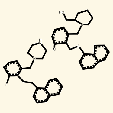 Fc1cccc(CN2CCNCC2)c1CCc1cccc2ccccc12.OCC1CCCCN1Cc1cccc(Cl)c1CSc1cccc2ccccc12